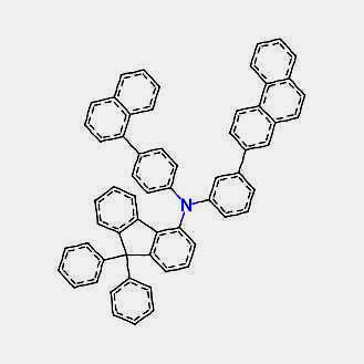 c1ccc(C2(c3ccccc3)c3ccccc3-c3c(N(c4ccc(-c5cccc6ccccc56)cc4)c4cccc(-c5ccc6c(ccc7ccccc76)c5)c4)cccc32)cc1